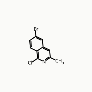 Cc1cc2cc(Br)ccc2c(Cl)n1